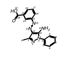 Cc1nn(-c2ccccc2)c(N)c1N=Nc1cccc(C(=O)O)c1